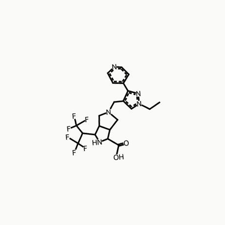 CCn1cc(CN2CC3C(C(=O)O)NC(C(C(F)(F)F)C(F)(F)F)C3C2)c(-c2ccncc2)n1